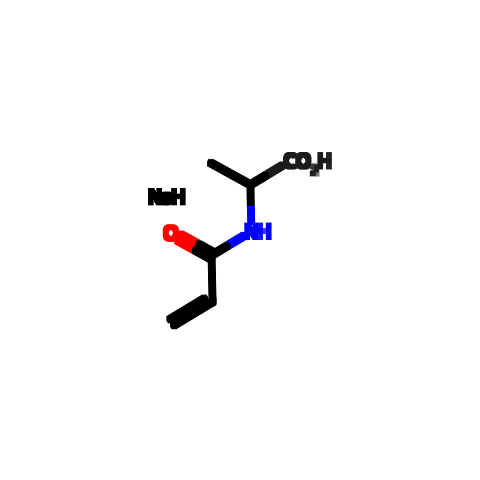 C=CC(=O)NC(C)C(=O)O.[NaH]